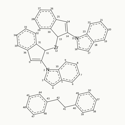 C1=C(n2ccc3ccccc32)[CH]([Zr][CH]2C(n3ccc4ccccc43)=Cc3ccccc32)c2ccccc21.c1ccc(CCc2ccccc2)cc1